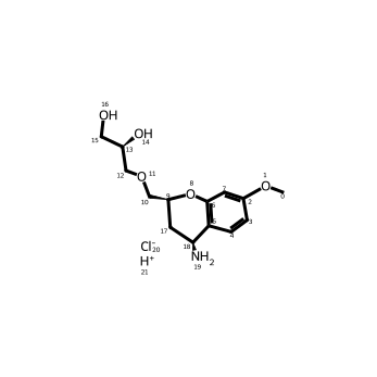 COc1ccc2c(c1)O[C@H](COC[C@H](O)CO)C[C@@H]2N.[Cl-].[H+]